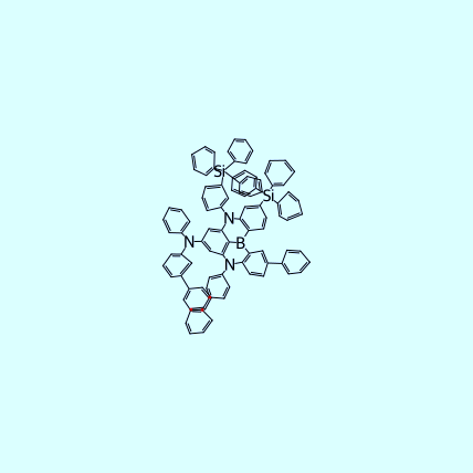 c1ccc(-c2ccc(N3c4ccc(-c5ccccc5)cc4B4c5ccc([Si](c6ccccc6)(c6ccccc6)c6ccccc6)cc5N(c5cccc([Si](c6ccccc6)(c6ccccc6)c6ccccc6)c5)c5cc(N(c6ccccc6)c6cccc(-c7ccccc7)c6)cc3c54)cc2)cc1